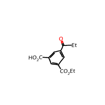 CCOC(=O)c1cc(C(=O)O)cc(C(=O)CC)c1